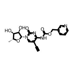 C#Cc1cn([C@@H]2O[C@H](C)[C@@H](O)[C@H]2O)c(=O)nc1NC(=O)OCc1cccnc1